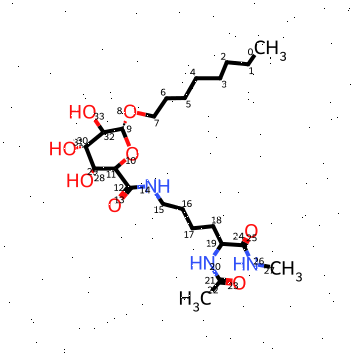 CCCCCCCCO[C@@H]1OC(C(=O)NCCCCC(NC(C)=O)C(=O)NC)[C@@H](O)[C@H](O)C1O